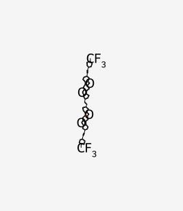 FC(F)(F)c1ccc(C#Cc2ccc3c(c2)oc2cc4c(cc23)oc2cc(/C=C/c3ccc5c(c3)oc3cc6c(cc35)oc3cc(C#Cc5ccc(C(F)(F)F)cc5)ccc36)ccc24)cc1